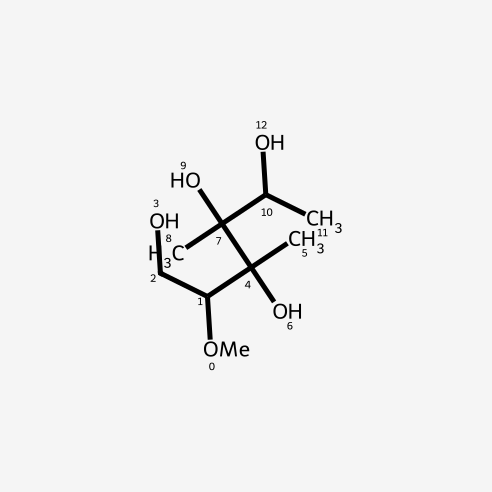 COC(CO)C(C)(O)C(C)(O)C(C)O